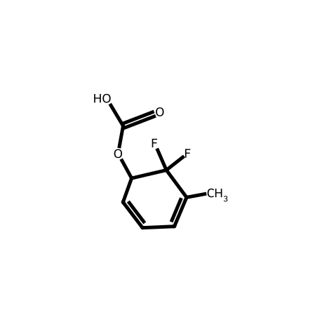 CC1=CC=CC(OC(=O)O)C1(F)F